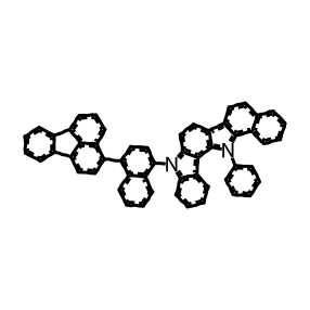 c1ccc(-n2c3c4ccccc4ccc3c3ccc4c(c5ccccc5n4-c4ccc(-c5ccc6c7c(cccc57)-c5ccccc5-6)c5ccccc45)c32)cc1